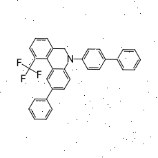 FC(F)(F)c1cccc2c1-c1cc(-c3ccccc3)ccc1N(c1ccc(-c3ccccc3)cc1)C2